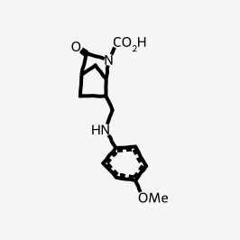 COc1ccc(NCC2CC3CC2N(C(=O)O)C3=O)cc1